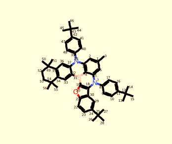 Cc1cc2c3c(c1)N(c1ccc(C(C)(C)C)cc1)c1c(oc4ccc(C(C)(C)C)cc14)B3c1cc3c(cc1N2c1ccc(C(C)(C)C)cc1)C(C)(C)CCC3(C)C